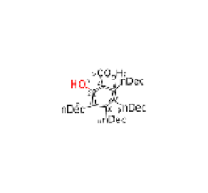 CCCCCCCCCCc1c(O)c(C(=O)O)c(CCCCCCCCCC)c(CCCCCCCCCC)c1CCCCCCCCCC